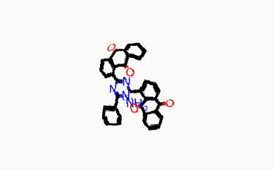 NN1C(c2ccccc2)=NC(c2cccc3c2C(=O)c2ccccc2C3=O)=NC1c1cccc2c1C(=O)c1ccccc1C2=O